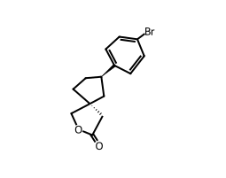 O=C1C[C@@]2(CC[C@@H](c3ccc(Br)cc3)C2)CO1